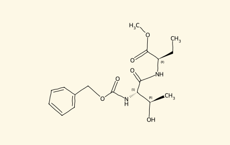 CC[C@@H](NC(=O)[C@@H](NC(=O)OCc1ccccc1)[C@@H](C)O)C(=O)OC